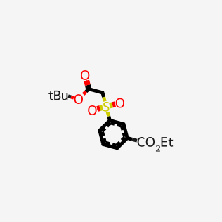 CCOC(=O)c1cccc(S(=O)(=O)CC(=O)OC(C)(C)C)c1